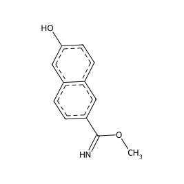 COC(=N)c1ccc2cc(O)ccc2c1